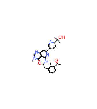 CC(=O)c1cccc2c1CN(c1nc(-c3ccc(C(C)(C)O)nc3)cc3ncn(C)c(=O)c13)CC2